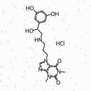 Cl.Cn1c(=O)c2c(ncn2CCCNCC(O)c2cc(O)cc(O)c2)n(C)c1=O